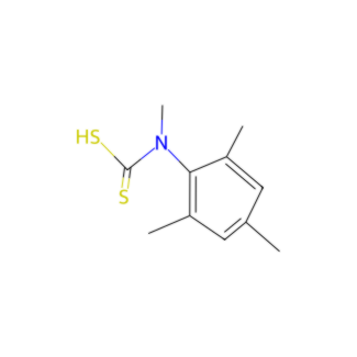 Cc1cc(C)c(N(C)C(=S)S)c(C)c1